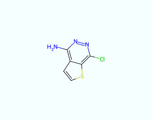 Nc1nnc(Cl)c2sccc12